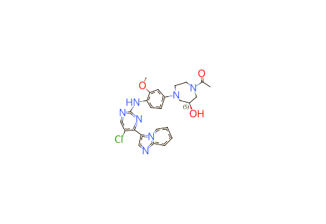 COc1cc(N2CCN(C(C)=O)C[C@@H](O)C2)ccc1Nc1ncc(Cl)c(-c2cnc3ccccn23)n1